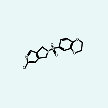 O=S(=O)(c1ccc2c(c1)OCCO2)N1Cc2cnc(Cl)cc2C1